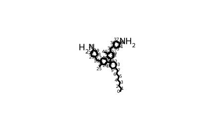 CCCCCCCCC1CCC(c2ccc(Cc3ccc(N)cc3)c(C)c2)(c2ccc(Cc3ccc(N)cc3)c(C)c2)CC1